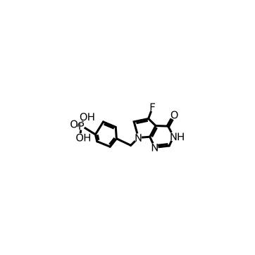 O=c1[nH]cnc2c1c(F)cn2Cc1ccc(P(=O)(O)O)cc1